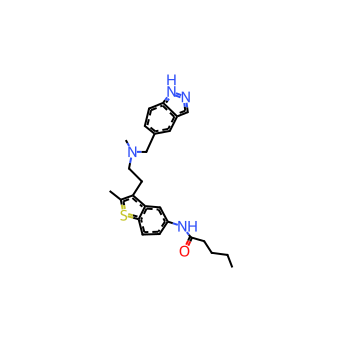 CCCCC(=O)Nc1ccc2sc(C)c(CCN(C)Cc3ccc4[nH]ncc4c3)c2c1